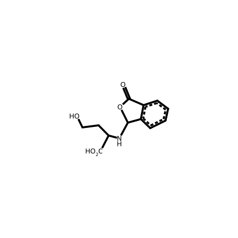 O=C1OC(NC(CCO)C(=O)O)c2ccccc21